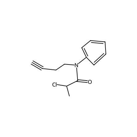 C#CCCN(C(=O)C(C)Cl)c1ccccc1